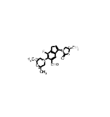 C[C@@H]1CN(c2c(C=O)cc3c(c2F)CC=C3N2C[C@@H](C)SC2=O)C[C@@H](C)O1